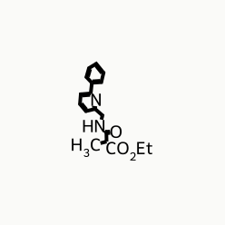 CCOC(=O)C(C)C(=O)NCc1cccc(-c2ccccc2)n1